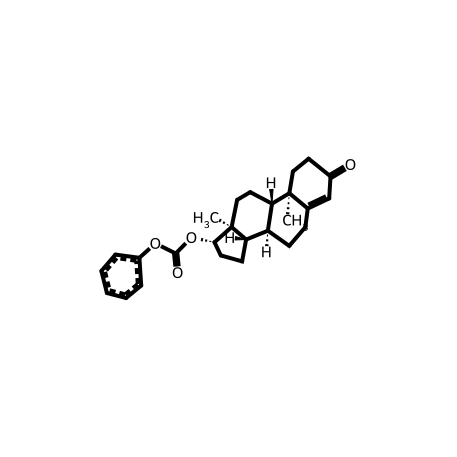 C[C@]12CC[C@H]3[C@@H](CCC4=CC(=O)CC[C@@]43C)[C@@H]1CC[C@@H]2OC(=O)Oc1ccccc1